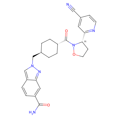 N#Cc1ccnc([C@@H]2CCON2C(=O)[C@H]2CC[C@H](Cn3cc4ccc(C(N)=O)cc4n3)CC2)c1